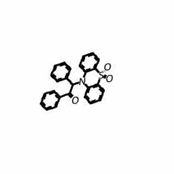 O=C(c1ccccc1)C(c1ccccc1)N1c2ccccc2S(=O)(=O)c2ccccc21